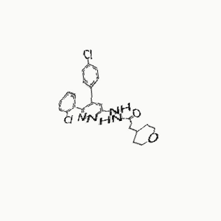 O=C(CC1CCOCC1)NNc1cc(-c2ccc(Cl)cc2)c(-c2ccccc2Cl)nn1